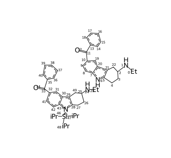 CCNC1CCc2[nH]c3ccc(C(=O)c4ccccc4)cc3c2C1.CCNC1CCc2c(c3cc(C(=O)c4ccccc4)ccc3n2[Si](C(C)C)(C(C)C)C(C)C)C1